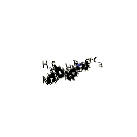 Cc1cc(Nc2ncnc3ccc(NC(=O)/C(F)=C\C4CCCN4C)cc23)ccc1Oc1cc2nncn2cn1